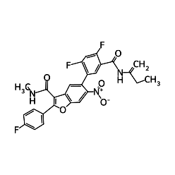 C=C(CC)NC(=O)c1cc(-c2cc3c(C(=O)NC)c(-c4ccc(F)cc4)oc3cc2[N+](=O)[O-])c(F)cc1F